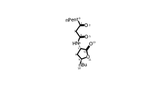 CCCCCC(=O)CC(=O)N[C@H]1C[C@H](CCCC)OC1=O